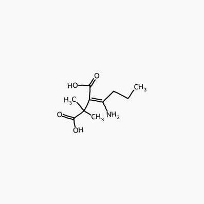 CCCC(N)=C(C(=O)O)C(C)(C)C(=O)O